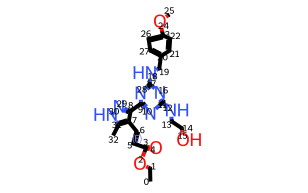 CCOC(=O)/C=C/c1c(-c2nc(NCCO)nc(NCc3ccc(OC)cc3)n2)n[nH]c1C